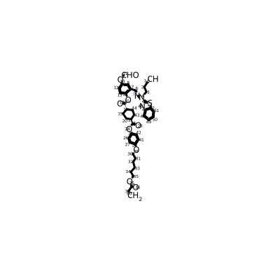 C#CCCN(/N=C/c1cc(OC=O)ccc1OC(=O)[C@H]1CC[C@H](C(=O)Oc2ccc(OCCCCCCOC(=O)C=C)cc2)CC1)c1nc2ccccc2s1